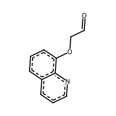 O=CCOc1cccc2cccnc12